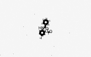 O=COc1cc(I)ccc1NC(=O)c1ccccc1